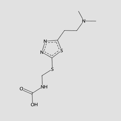 CN(C)CCc1nnc(SCNC(=O)O)s1